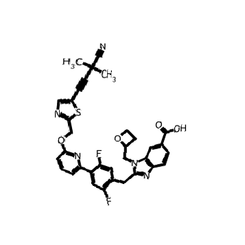 CC(C)(C#N)C#Cc1cnc(COc2cccc(-c3cc(F)c(Cc4nc5ccc(C(=O)O)cc5n4CC4CCO4)cc3F)n2)s1